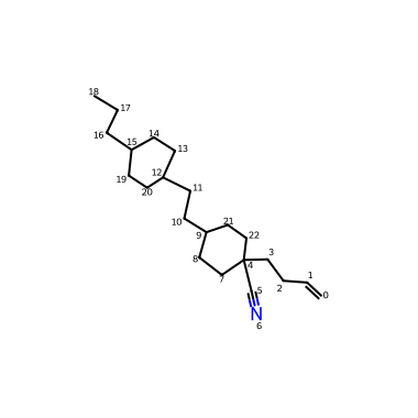 C=CCCC1(C#N)CCC(CCC2CCC(CCC)CC2)CC1